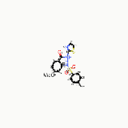 COc1ccc(C(=O)Nc2nccs2)c(NS(=O)(=O)c2ccc(C)cc2)c1